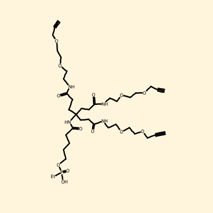 C#CCOCCOCCNC(=O)CCC(CCC(=O)NCCOCCOCC#C)(CCC(=O)NCCOCCOCC#C)NC(=O)CCCCOP(=O)(O)CC